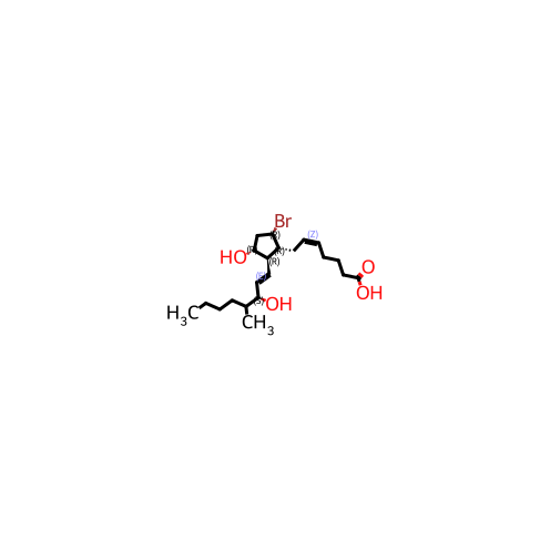 CCCCC(C)[C@H](O)/C=C/[C@@H]1[C@@H](C/C=C\CCCC(=O)O)[C@H](Br)C[C@H]1O